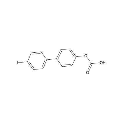 O=C(O)Oc1ccc(-c2ccc(I)cc2)cc1